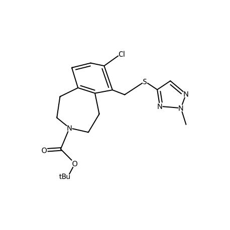 Cn1ncc(SCc2c(Cl)ccc3c2CCN(C(=O)OC(C)(C)C)CC3)n1